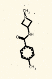 Cc1ccc(C(=O)NC2CN(C)C2)cc1